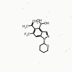 C=C(C)c1c(C(F)(F)F)cc2c(cnn2C2CCCCO2)c1B(O)O